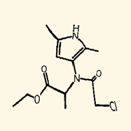 CCOC(=O)C(C)N(C(=O)CCl)c1cc(C)[nH]c1C